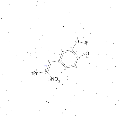 CCC/C(=C/c1ccc2c(c1)OCO2)[N+](=O)[O-]